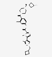 Cl.Cn1c(-c2cn(CC3CCC3)nc2C(F)(F)F)cnc1C(=O)Nc1ccc(C(=O)N2CCN(C(=O)[C@H]3C[C@H](N)C3)CC2)c(Cl)c1